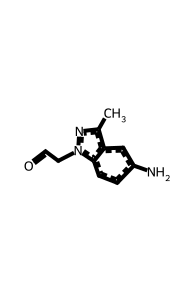 Cc1nn(CC=O)c2ccc(N)cc12